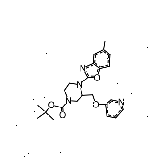 Cc1ccc2oc(N3CCN(C(=O)OC(C)(C)C)CC3COc3cccnc3)nc2c1